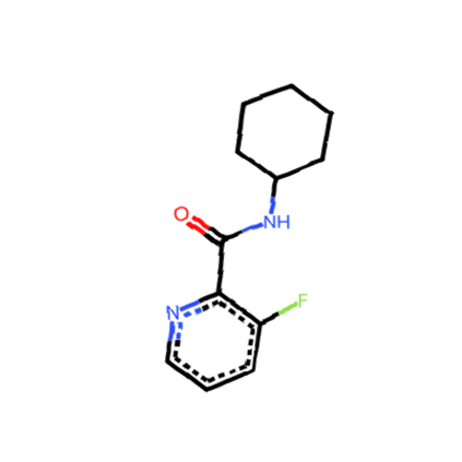 O=C(NC1CCCCC1)c1ncccc1F